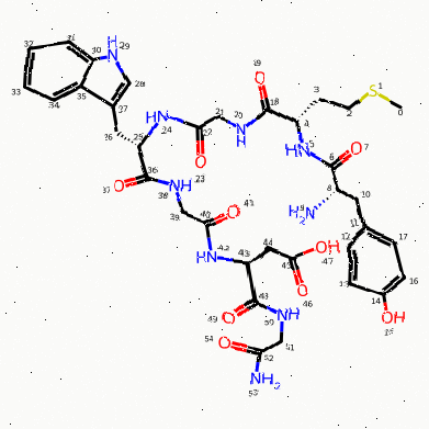 CSCC[C@H](NC(=O)[C@@H](N)Cc1ccc(O)cc1)C(=O)NCC(=O)N[C@@H](Cc1c[nH]c2ccccc12)C(=O)NCC(=O)N[C@@H](CC(=O)O)C(=O)NCC(N)=O